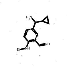 CCNc1ccc(C(N)C2CC2)cc1C=N